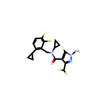 Cn1nc(C(F)F)c(C(=O)N(Cc2c(C3CC3)ccc(F)c2F)C2CC2)c1F